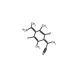 C/C(N)=c1\c(C)c(F)/c(=C(\C)C#N)c(C)c1F